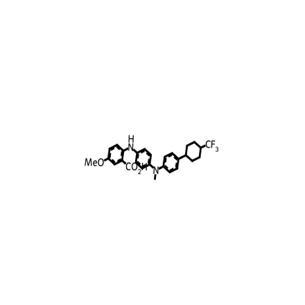 COc1ccc(Nc2ccc(N(C)c3ccc(C4CCC(C(F)(F)F)CC4)cc3)cc2)c(C(=O)O)c1